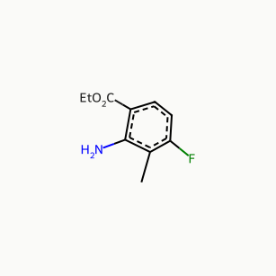 CCOC(=O)c1ccc(F)c(C)c1N